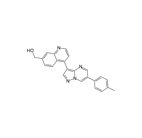 Cc1ccc(-c2cnc3c(-c4ccnc5cc(CO)ccc45)cnn3c2)cc1